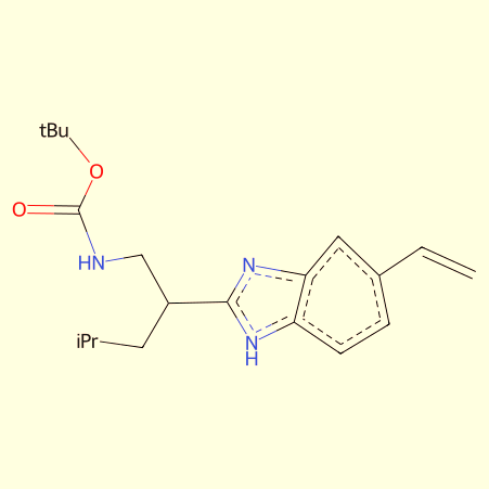 C=Cc1ccc2[nH]c(C(CNC(=O)OC(C)(C)C)CC(C)C)nc2c1